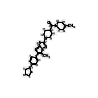 Cc1c(-c2ccc(N3CCCC3)cc2)nc2sc(N3CCC(C(=O)N4CCN(C)CC4)CC3)nn12